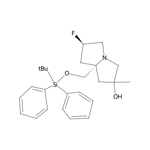 CC1(O)CN2C[C@H](F)C[C@]2(CO[Si](c2ccccc2)(c2ccccc2)C(C)(C)C)C1